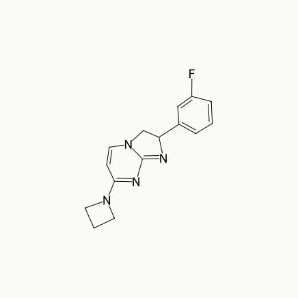 Fc1cccc(C2CN3C=CC(N4CCC4)=NC3=N2)c1